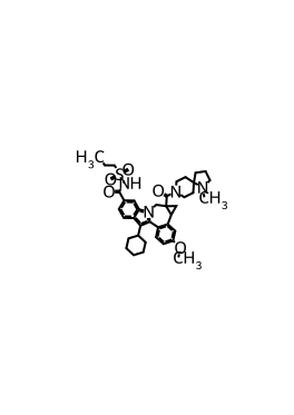 CCCS(=O)(=O)NC(=O)c1ccc2c(C3CCCCC3)c3n(c2c1)CC1(C(=O)N2CCC4(CCCN4C)CC2)CC1c1cc(OC)ccc1-3